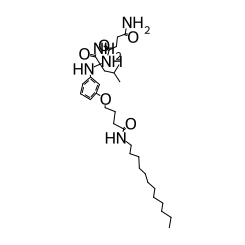 CCCCCCCCCCCCNC(=O)CCCOc1cccc(NC(CC(C)C)(NC(=O)CCC(N)=O)C(N)=O)c1